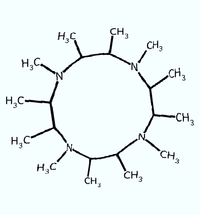 CC1C(C)N(C)C(C)C(C)N(C)C(C)C(C)N(C)C(C)C(C)N1C